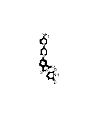 NC1CCN(C2CCN(c3ccc4c(c3)C(=O)N(C3CCC(=O)NC3=O)C4=O)CC2)CC1